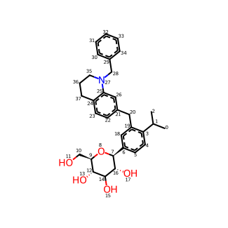 CC(C)c1ccc([C@@H]2O[C@H](CO)[C@@H](O)C(O)[C@H]2O)cc1Cc1ccc2c(c1)N(Cc1ccccc1)CCC2